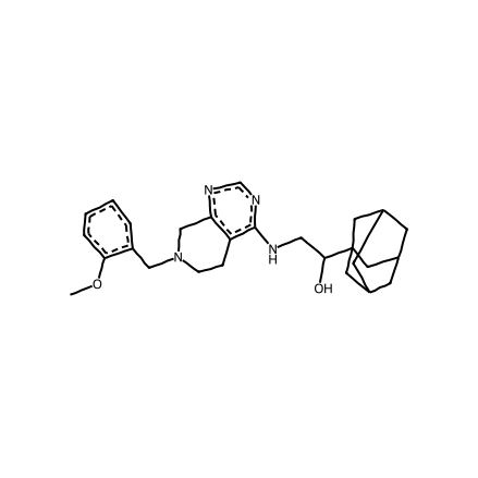 COc1ccccc1CN1CCc2c(ncnc2NCC(O)C23CC4CC(CC(C4)C2)C3)C1